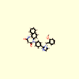 COc1ccccc1Cn1ccnc1-c1ccc(N2C(=O)CC(=O)Nc3c2ccc2ccccc32)cc1